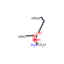 CCCCC/C=C\C/C=C\CCCCCCCC(=O)OC[C@H](COP(=O)(O)OC[C@H](N)C(=O)O)OC(=O)CCCCCCCCCCCCCCC